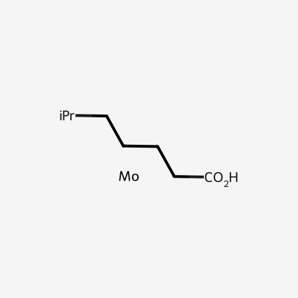 CC(C)CCCCC(=O)O.[Mo]